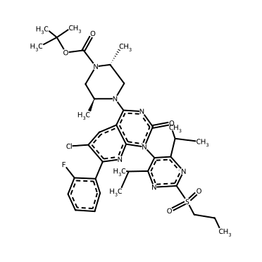 CCCS(=O)(=O)c1nc(C(C)C)c(-n2c(=O)nc(N3C[C@@H](C)N(C(=O)OC(C)(C)C)C[C@@H]3C)c3cc(Cl)c(-c4ccccc4F)nc32)c(C(C)C)n1